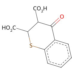 O=C(O)C1Sc2ccccc2C(=O)C1C(=O)O